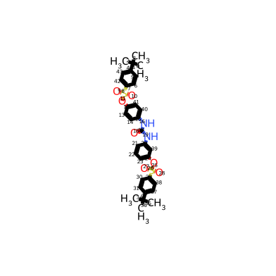 CC(C)(C)c1ccc(S(=O)(=O)Oc2ccc(NC(=O)Nc3cccc(OS(=O)(=O)c4ccc(C(C)(C)C)cc4)c3)cc2)cc1